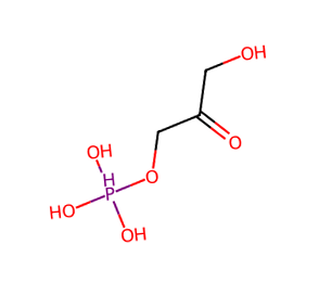 O=C(CO)CO[PH](O)(O)O